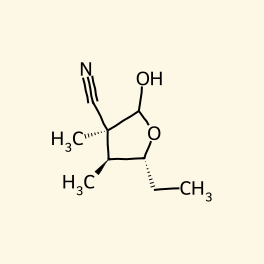 CC[C@H]1OC(O)[C@](C)(C#N)[C@@H]1C